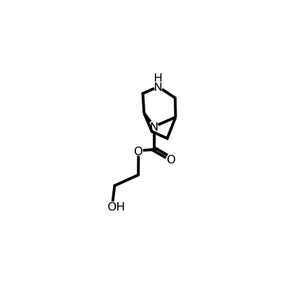 O=C(OCCO)N1C2CCC1CNC2